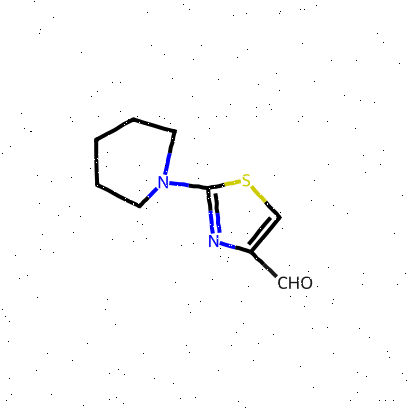 O=Cc1csc(N2CCCCC2)n1